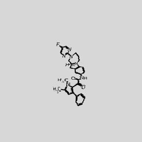 Cc1cc(-c2ccccc2)c(C(=O)C(=O)Nc2ccc3c(c2)C[C@@H]2CN(c4ncc(F)cn4)CCCN32)n1C